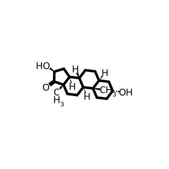 C[C@]12CC[C@@H](O)C[C@@H]1CC[C@@H]1[C@@H]2CC[C@]2(C)C(=O)[C@@H](O)C[C@@H]12